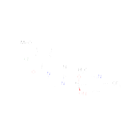 COc1cccc(C(=O)N2CCN3C[C@@](O)(c4ccc(C(F)(F)F)nc4C)OC[C@@H]3C2)c1Cl